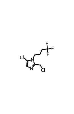 FC(F)(F)CCCn1c(Cl)cnc1CCl